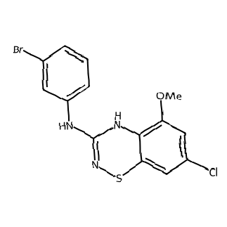 COc1cc(Cl)cc2c1NC(Nc1cccc(Br)c1)=NS2